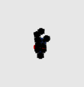 c1ccc(-c2cccc(-c3ccc(-c4ccc5c(c4)oc4ccc6c(c7ccccc7n6-c6ccccc6)c45)c(-c4nc(-c5ccccc5)nc(-c5ccccc5)n4)c3)c2)cc1